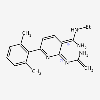 C=C(N)/N=C1/N=C(c2c(C)cccc2C)C=C/C1=C(/N)NCC